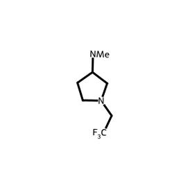 CNC1CCN(CC(F)(F)F)C1